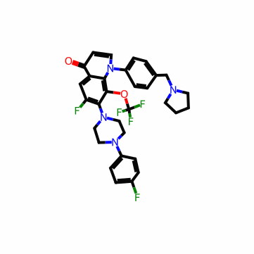 O=c1ccn(-c2ccc(CN3CCCC3)cc2)c2c(OC(F)(F)F)c(N3CCN(c4ccc(F)cc4)CC3)c(F)cc12